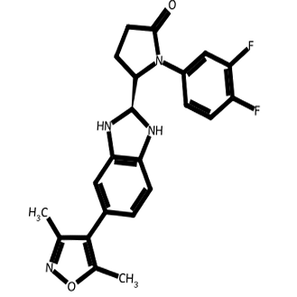 Cc1noc(C)c1-c1ccc2c(c1)N[C@@H](C1CCC(=O)N1c1ccc(F)c(F)c1)N2